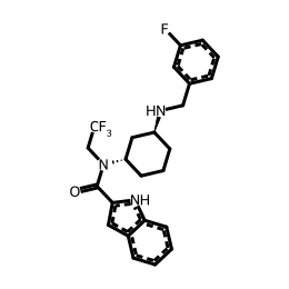 O=C(c1cc2ccccc2[nH]1)N(CC(F)(F)F)[C@H]1CCC[C@H](NCc2cccc(F)c2)C1